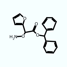 NOC(C(=O)OC(c1ccccc1)c1ccccc1)c1ccco1